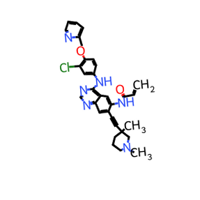 C=CC(=O)Nc1cc2c(Nc3ccc(OCc4ccccn4)c(Cl)c3)ncnc2cc1C#CC1(C)CCCN(C)C1